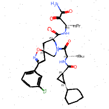 CCC[C@H](NC(=O)[C@@H]1C[C@]2(CC(c3cccc(Cl)c3)=NO2)CN1C(=O)[C@@H](NC(=O)[C@@H]1C[C@H]1C1CCCCC1)C(C)(C)C)C(=O)C(N)=O